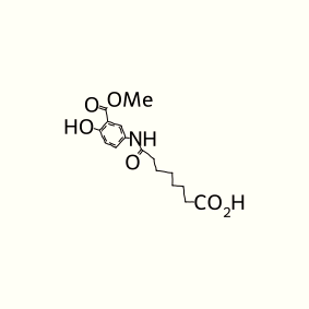 COC(=O)c1cc(NC(=O)CCCCCCC(=O)O)ccc1O